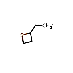 [CH2]CC1CCS1